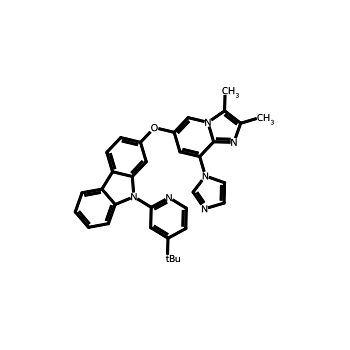 Cc1nc2c(-n3ccnc3)cc(Oc3ccc4c5ccccc5n(-c5cc(C(C)(C)C)ccn5)c4c3)cn2c1C